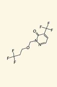 O=c1c(C(F)(F)F)ccnn1COCCC(F)(F)F